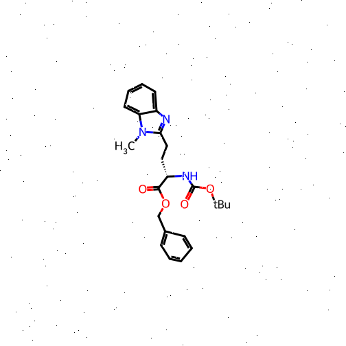 Cn1c(CC[C@H](NC(=O)OC(C)(C)C)C(=O)OCc2ccccc2)nc2ccccc21